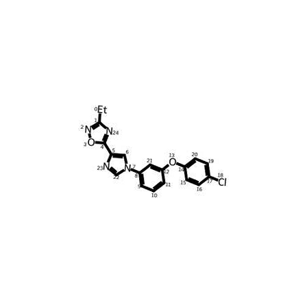 CCc1noc(-c2cn(-c3cccc(Oc4ccc(Cl)cc4)c3)cn2)n1